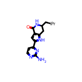 CC(C)CC1Cc2[nH]c(-c3ccnc(N)n3)cc2C(=O)N1